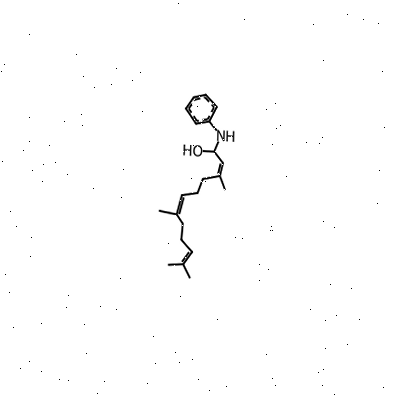 CC(C)=CCCC(C)=CCCC(C)=CC(O)Nc1ccccc1